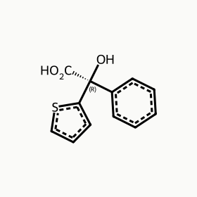 O=C(O)[C@](O)(c1ccccc1)c1cccs1